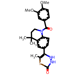 COc1ccc(C(=O)N2CCC(C)(C)c3cc(C4=C(C)SC(=O)NN4)ccc32)cc1OC